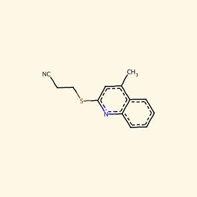 Cc1cc(SCCC#N)nc2ccccc12